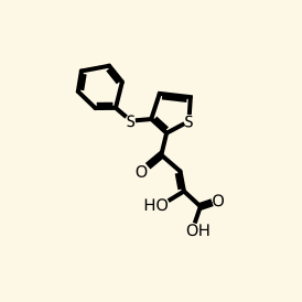 O=C(O)C(O)=CC(=O)c1sccc1Sc1ccccc1